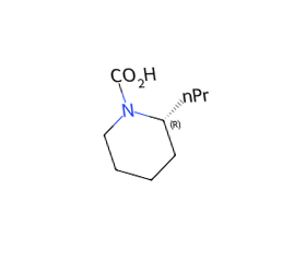 CCC[C@@H]1CCCCN1C(=O)O